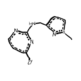 Cn1ccc(Nc2nccc(Cl)n2)n1